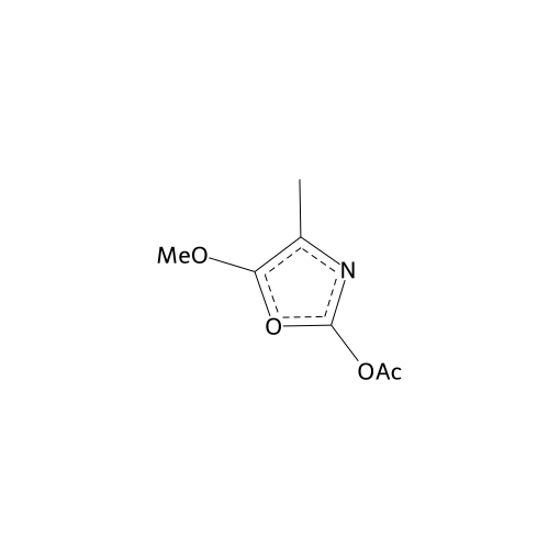 COc1oc(OC(C)=O)nc1C